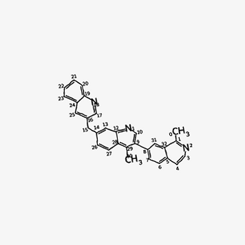 Cc1nccc2ccc(-c3cnc4cc(Cc5cnc6ccccc6c5)ccc4c3C)cc12